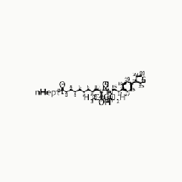 CCCCCCCC(=O)CCCCCC/C=C/[C@H](C(=O)NCCc1ccc(-c2ccsc2)cc1)[C@](C)(O)C(=O)O